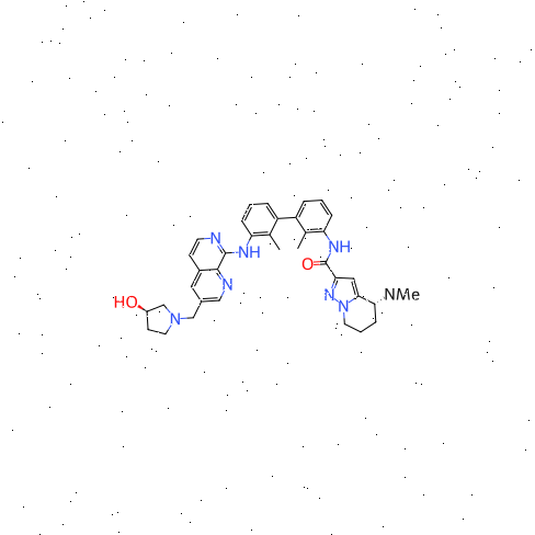 CN[C@@H]1CCCn2nc(C(=O)Nc3cccc(-c4cccc(Nc5nccc6cc(CN7CC[C@@H](O)C7)cnc56)c4C)c3C)cc21